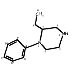 CCC1CNCCN1c1[c]cccc1